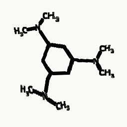 CN(C)C1CC(N(C)C)CC(N(C)C)C1